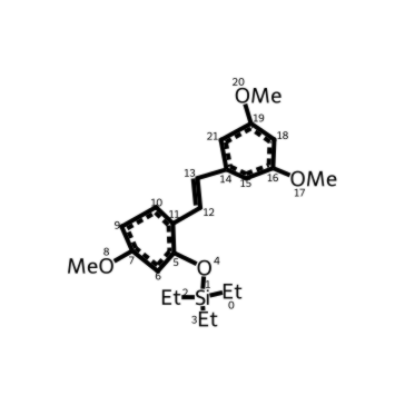 CC[Si](CC)(CC)Oc1cc(OC)ccc1C=Cc1cc(OC)cc(OC)c1